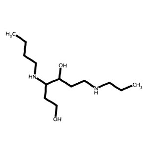 CCCCNC(CCO)C(O)CCNCCC